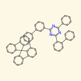 c1ccc(-c2nc(-c3cccc(-c4cccc(-c5cccc6c5C5(c7ccccc7-c7ccccc75)c5ccccc5-6)c4)c3)nc(-c3ccccc3-c3ccccc3)n2)cc1